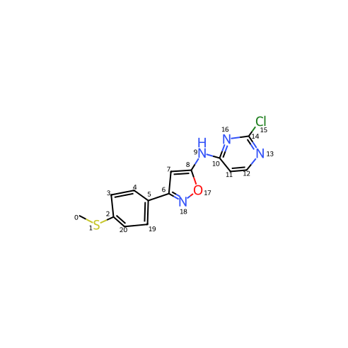 CSc1ccc(-c2cc(Nc3ccnc(Cl)n3)on2)cc1